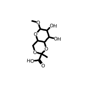 COC1OC2COC(C)(C(=O)O)OC2C(O)C1O